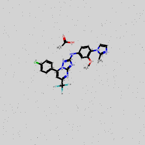 CC(=O)O.COc1cc(Nc2nc3nc(C(F)(F)F)cc(-c4ccc(Cl)cc4)n3n2)ccc1-n1ccnc1C